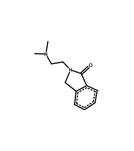 CN(C)CCN1Cc2ccc[c]c2C1=O